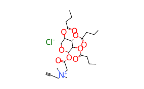 C#CC[N+](C)(C)CC(=O)OC1OC[C@@H](OC(=O)CCC)[C@H](OC(=O)CCC)[C@H]1OC(=O)CCC.[Cl-]